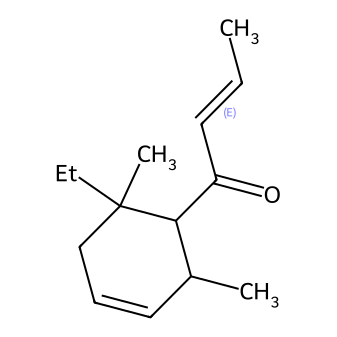 C/C=C/C(=O)C1C(C)C=CCC1(C)CC